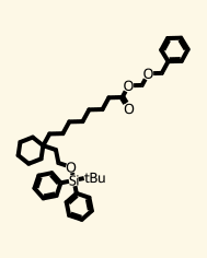 CC(C)(C)[Si](OCCC1(CCCCCCCC(=O)OCOCc2ccccc2)CCCCC1)(c1ccccc1)c1ccccc1